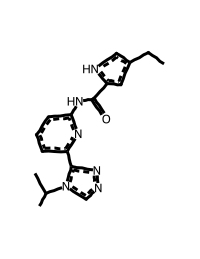 CCc1c[nH]c(C(=O)Nc2cccc(-c3nncn3C(C)C)n2)c1